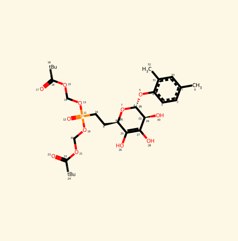 Cc1ccc(O[C@H]2O[C@H](CCP(=O)(OCOC(=O)C(C)(C)C)OCOC(=O)C(C)(C)C)C(O)=C(O)[C@@H]2O)c(C)c1